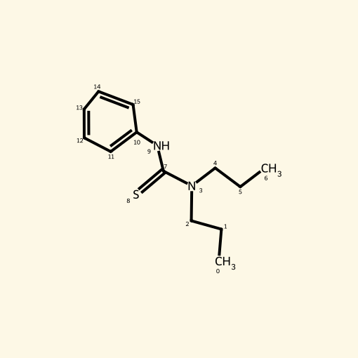 CCCN(CCC)C(=S)Nc1ccccc1